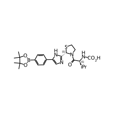 CC(C)[C@H](NC(=O)O)C(=O)N1CCS[C@H]1c1ncc(-c2ccc(B3OC(C)(C)C(C)(C)O3)cc2)[nH]1